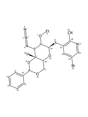 CCOC1C(N=[N+]=[N-])[C@H]2OC(c3ccccc3)OCC2O[C@@H]1Sc1cc(Br)cnc1C#N